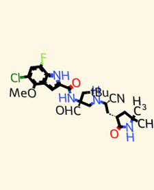 COc1c(Cl)cc(F)c2[nH]c(C(=O)N[C@@](C=O)(CN[C@H](C#N)C[C@@H]3CC(C)(C)NC3=O)CC(C)(C)C)cc12